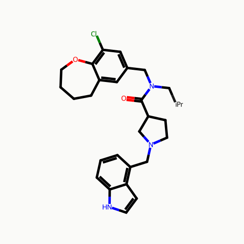 CC(C)CN(Cc1cc(Cl)c2c(c1)CCCCO2)C(=O)C1CCN(Cc2cccc3[nH]ccc23)C1